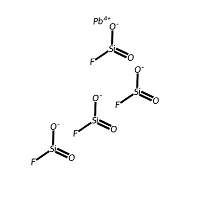 O=[Si]([O-])F.O=[Si]([O-])F.O=[Si]([O-])F.O=[Si]([O-])F.[Pb+4]